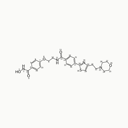 O=C(NO)c1ccc(OCCNC(=O)c2ccc(-c3nc(CCN4CCOCC4)cs3)cc2)cc1